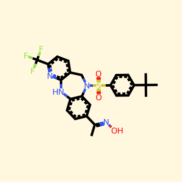 CC(=NO)c1ccc2c(c1)N(S(=O)(=O)c1ccc(C(C)(C)C)cc1)Cc1ccc(C(F)(F)F)nc1N2